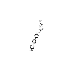 O=[N+]([O-])c1cn2c(n1)OC(COc1ccc(-c3ccc(N4CCC(O)(C(F)(F)F)CC4)cc3)cc1)CC2